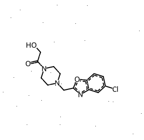 O=C(CO)N1CCN(Cc2nc3cc(Cl)ccc3o2)CC1